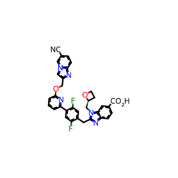 N#Cc1ccc2nc(COc3cccc(-c4cc(F)c(Cc5nc6ccc(C(=O)O)cc6n5C[C@@H]5CCO5)cc4F)n3)cn2c1